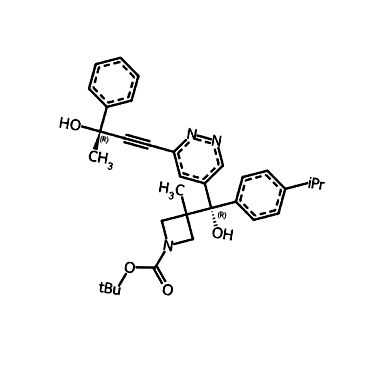 CC(C)c1ccc([C@](O)(c2cnnc(C#C[C@](C)(O)c3ccccc3)c2)C2(C)CN(C(=O)OC(C)(C)C)C2)cc1